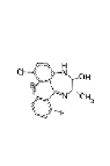 C[C@@H]1N=C(c2c(F)cccc2F)c2c(ccc(Cl)c2Br)NC1O